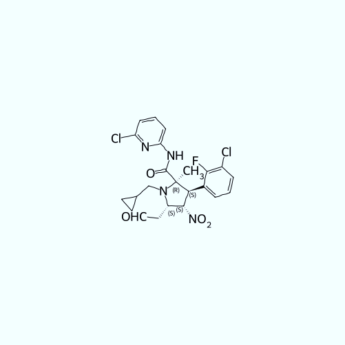 C[C@]1(C(=O)Nc2cccc(Cl)n2)[C@@H](c2cccc(Cl)c2F)[C@H]([N+](=O)[O-])[C@H](CC=O)N1CC1CC1